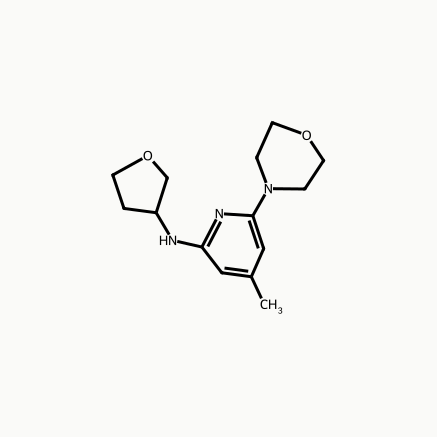 Cc1cc(NC2CCOC2)nc(N2CCOCC2)c1